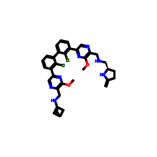 C=C1CC[C@@H](CNCc2ncc(-c3cccc(-c4cccc(-c5cnc(CNC67CC(C6)C7)c(OC)n5)c4Cl)c3Cl)nc2OC)N1